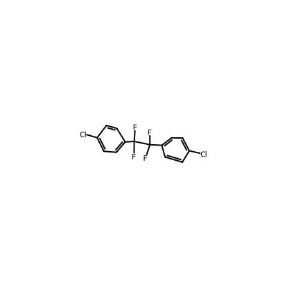 FC(F)(c1ccc(Cl)cc1)C(F)(F)c1ccc(Cl)cc1